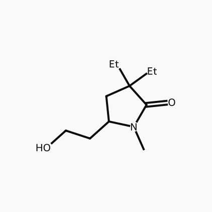 CCC1(CC)CC(CCO)N(C)C1=O